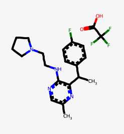 Cc1cnc(NCCN2CCCC2)c(C(C)c2ccc(F)cc2)n1.O=C(O)C(F)(F)F